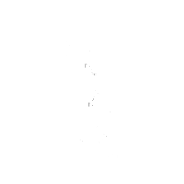 Cc1cncc(C(=O)N[C@@]23CCC[C@@](NC(=O)c4ccccc4F)(CC2)C3)n1